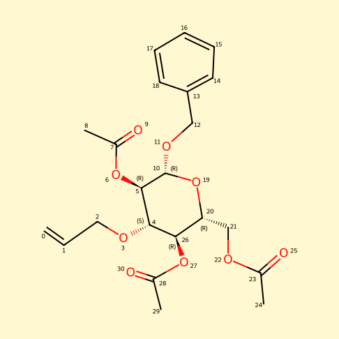 C=CCO[C@@H]1[C@@H](OC(C)=O)[C@H](OCc2ccccc2)O[C@H](COC(C)=O)[C@H]1OC(C)=O